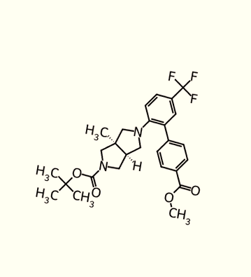 COC(=O)c1ccc(-c2cc(C(F)(F)F)ccc2N2C[C@H]3CN(C(=O)OC(C)(C)C)C[C@@]3(C)C2)cc1